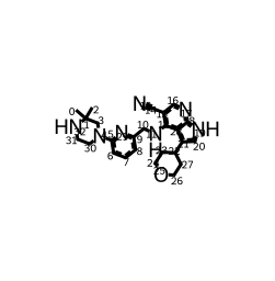 CC1(C)CN(c2cccc(CNc3c(C#N)cnc4[nH]cc(C5CCOCC5)c34)n2)CCN1